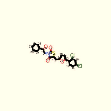 O=C(CN1C(=O)S/C(=C\c2ccc(-c3ccc(Cl)cc3Cl)o2)C1=O)c1ccccc1